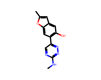 CNc1ncc(-c2cc3oc(C)cc3cc2O)nn1